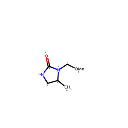 COCN1C(=O)[N]CC1C